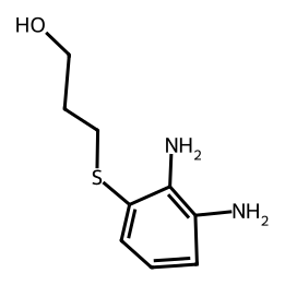 Nc1cccc(SCCCO)c1N